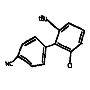 CC(C)(C)c1cc[c]c(Cl)c1-c1ccc(C#N)cc1